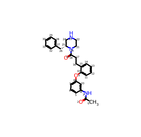 CC(=O)Nc1cccc(Oc2ccccc2CCC(=O)N2CCNC[C@H]2Cc2ccccc2)c1